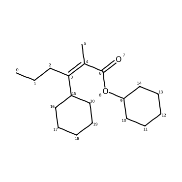 CCCC(=C(C)C(=O)OC1CCCCC1)C1CCCCC1